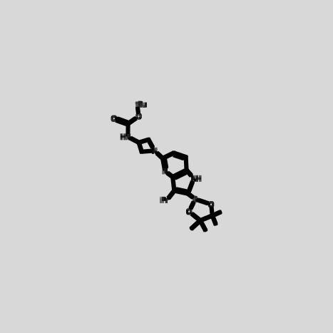 CC(C)c1c(B2OC(C)(C)C(C)(C)O2)[nH]c2ccc(N3CC(NC(=O)OC(C)(C)C)C3)nc12